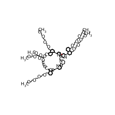 COCCOCCOCCOCc1ccc2c3cccc(c13)COC(=c1oc(=C(OC)OCCOC)o1)OCCOCc1ccc(c3cccc(COCCOCCOCCOC)c13)-c1cccc(n1)[C@@H]1CCC[C@@H](c3cccc(-c4ccc(COCCOCCOCCOC)c5c(COCCOCCOCCOC)cccc45)n3)N1Cc1cccc-2n1